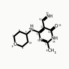 Cc1nc(NC2CCOCC2)c(C=N)c(=O)[nH]1